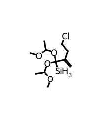 C=C(CCCl)C([SiH3])(OC(C)OC)OC(C)OC